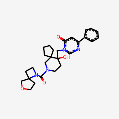 O=C(N1CCC(O)(Cn2cnc(-c3ccccc3)cc2=O)C2(CCCC2)C1)N1CCC12CCOC2